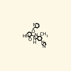 Cc1cc(-n2ccnc2)cc2[nH]c(-c3c(OCc4ccccn4)cc[nH]c3=O)nc12